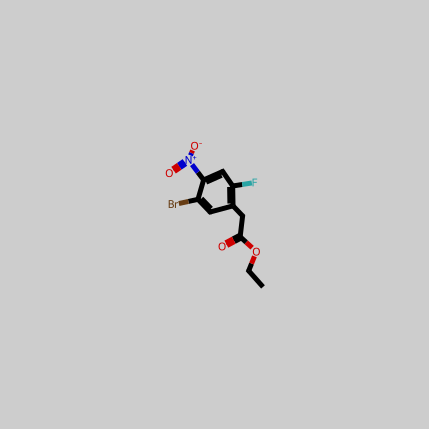 CCOC(=O)Cc1cc(Br)c([N+](=O)[O-])cc1F